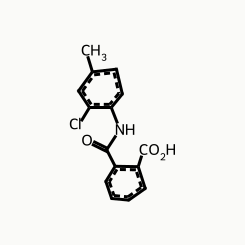 Cc1ccc(NC(=O)c2ccccc2C(=O)O)c(Cl)c1